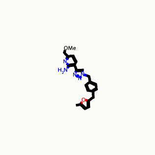 COCc1ccc(-c2cn(Cc3ccc(Cc4ccc(C)o4)cc3)nn2)c(N)n1